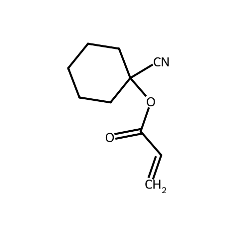 C=CC(=O)OC1(C#N)CCCCC1